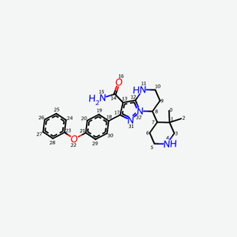 CC1(C)CNCCC1C1CCNc2c(C(N)=O)c(-c3ccc(Oc4ccccc4)cc3)nn21